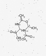 C=C(NCC(=O)O)OC(C)NC(C)=O